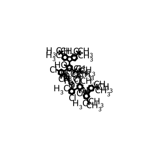 Cc1cc(Cl)cc(-c2cc(C(C)(C)CC(C)(C)C)cc(C3c4ccc(C(C)(C)C)cc4-c4cc(C(C)(C)C)ccc43)c2O)c1OCCCOc1c(C)cc(Cl)cc1-c1cc(C(C)(C)CC(C)(C)C)cc(-n2c3ccc(C(C)(C)C)cc3c3cc(C(C)(C)C)ccc32)c1O